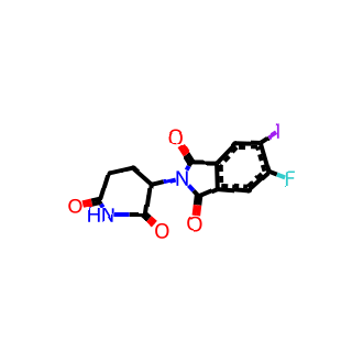 O=C1CCC(N2C(=O)c3cc(F)c(I)cc3C2=O)C(=O)N1